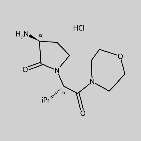 CC(C)[C@@H](C(=O)N1CCOCC1)N1CC[C@H](N)C1=O.Cl